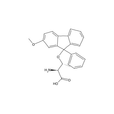 COc1ccc2c(c1)C(O[C@H](C)[C@H](N)C(=O)O)(c1ccccc1)c1ccccc1-2